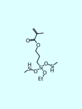 C=C(C)C(=O)OCCC[Si](OCC)(O[SiH](C)C)O[SiH](C)C